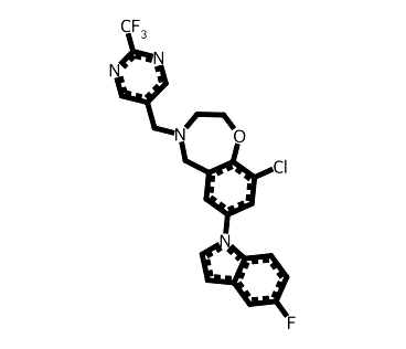 Fc1ccc2c(ccn2-c2cc(Cl)c3c(c2)CN(Cc2cnc(C(F)(F)F)nc2)CCO3)c1